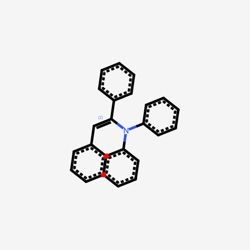 C(=C(\c1ccccc1)N(c1ccccc1)c1ccccc1)/c1ccccc1